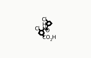 O=C(O)c1ccc(Cl)c(NC(=O)c2cccc(Cl)c2)c1